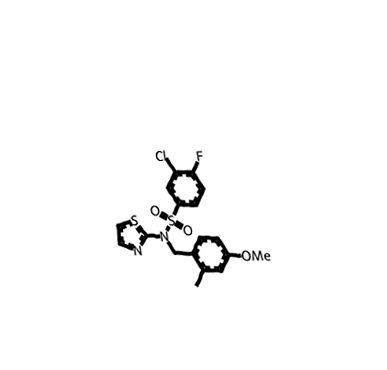 COc1ccc(CN(c2nccs2)S(=O)(=O)c2ccc(F)c(Cl)c2)c(C)c1